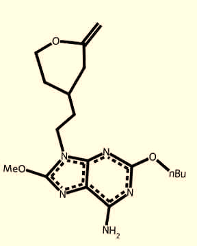 C=C1CC(CCn2c(OC)nc3c(N)nc(OCCCC)nc32)CCO1